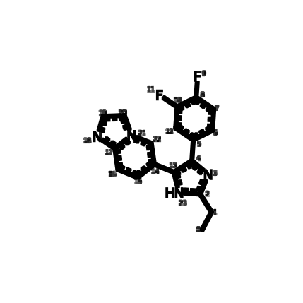 CCc1nc(-c2ccc(F)c(F)c2)c(-c2ccc3nccn3c2)[nH]1